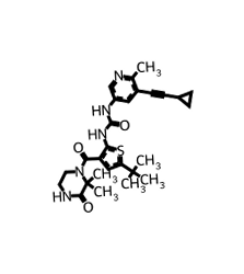 Cc1ncc(NC(=O)Nc2sc(C(C)(C)C)cc2C(=O)N2CCNC(=O)C2(C)C)cc1C#CC1CC1